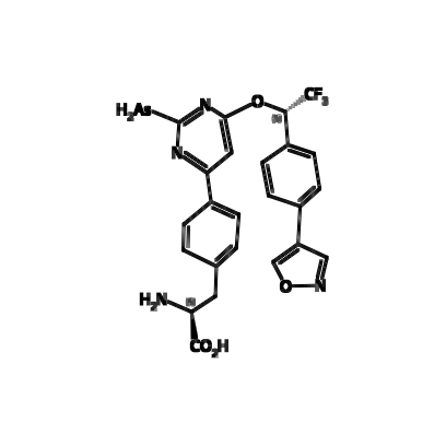 N[C@@H](Cc1ccc(-c2cc(O[C@@H](c3ccc(-c4cnoc4)cc3)C(F)(F)F)nc([AsH2])n2)cc1)C(=O)O